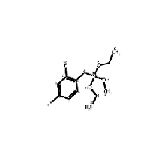 CCO[Si](Cc1ccc(F)cc1F)(OC)OCC